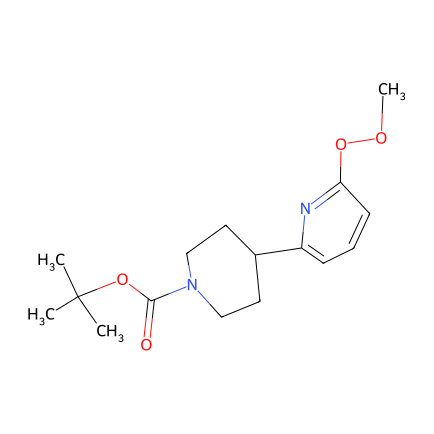 COOc1cccc(C2CCN(C(=O)OC(C)(C)C)CC2)n1